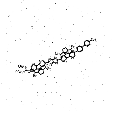 CCCCCCCCCC(OC)Oc1cnc2c(c1)C1(c3cc(C4=NC5=NC(c6cnc7c(c6)C6(c8cc(-c9ccc(-c%10ccc(C)cc%10)cc9)cnc8-7)C7(C(CC)CC)CCC6(C(CC)CC)CC7)=NC5=N4)cnc3-2)C2(C(CC)CC)CCC1(C(CC)CC)CC2